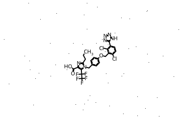 CCCc1nc(C(=O)O)c(C(F)(F)C(F)(F)F)n1Cc1ccc(OCc2c(Cl)ccc(-c3nnn[nH]3)c2Cl)cc1